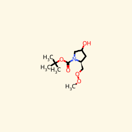 COOC[C@@H]1CC(O)CN1C(=O)OC(C)(C)C